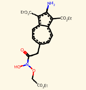 CCOC(=O)CON(O)C(=O)Cc1ccc2c(C(=O)OCC)c(N)c(C(=O)OCC)c-2cc1